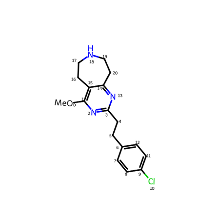 COc1nc(CCc2ccc(Cl)cc2)nc2c1CCNCC2